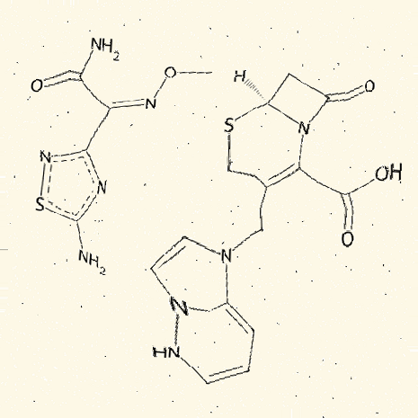 CO/N=C(\C(N)=O)c1nsc(N)n1.O=C(O)C1=C(CN2C=CN3NC=CC=C23)CS[C@H]2CC(=O)N12